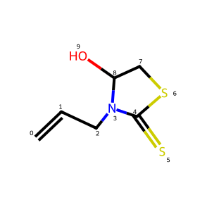 C=CCN1C(=S)SCC1O